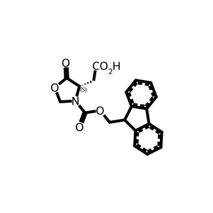 O=C(O)C[C@H]1C(=O)OCN1C(=O)OCC1c2ccccc2-c2ccccc21